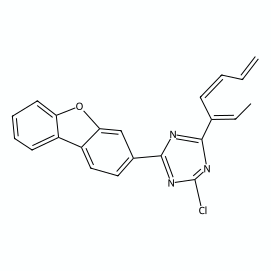 C=C/C=C\C(=C/C)c1nc(Cl)nc(-c2ccc3c(c2)oc2ccccc23)n1